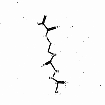 C=C(C)C(=O)OCCNC(=O)NNC(N)=O